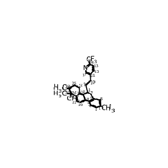 Cc1ccc2c(c1)CC(CCc1ccc(C(F)(F)F)nc1)c1c-2ccc2c1CCC(C)C2(C)C